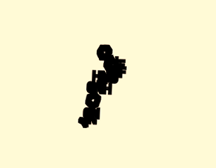 CC(C)c1nnc([C@H]2CC[C@H](C(=O)NCCNC(=O)c3cn(-c4ccccc4)nc3C(F)(F)F)CC2)o1